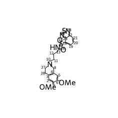 COc1cc2c(cc1OC)CN(CCCCNS(=O)(=O)c1cccc3nsnc13)CC2